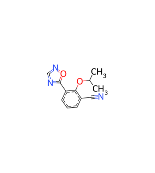 CC(C)Oc1c(C#N)cccc1-c1ncno1